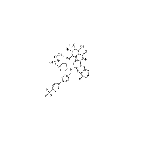 [2H]c1c(C)c([2H])c2c(=O)c([2H])c(SCc3cccc(F)c3F)n(CC(=O)N(Cc3ccc(-c4ccc(C(F)(F)F)cc4)cc3)C3CCN(CC([2H])([2H])OC)CC3)c2c1[2H]